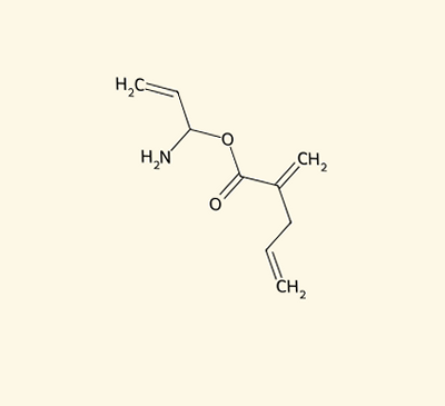 C=CCC(=C)C(=O)OC(N)C=C